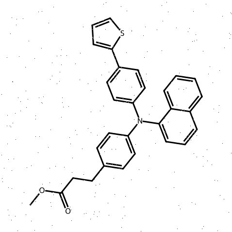 COC(=O)CCc1ccc(N(c2ccc(-c3cccs3)cc2)c2cccc3ccccc23)cc1